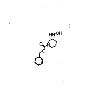 O=C(OCc1ccccc1)N1CCC[C@@H](NO)C1